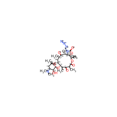 CCC1OC(=O)C(C)C(=O)C(C)[C@@H](OC2OC(C)CC(N(C)C)C2O)C(C)C[C@@H](C)C(=O)[C@H](C)C2N(CN=[N+]=[N-])C(=O)O[C@]12C